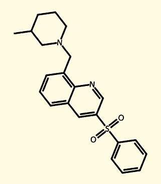 CC1CCCN(Cc2cccc3cc(S(=O)(=O)c4ccccc4)cnc23)C1